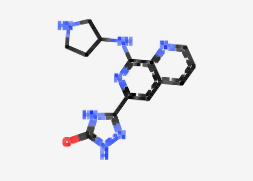 O=c1[nH]nc(-c2cc3cccnc3c(NC3CCNC3)n2)[nH]1